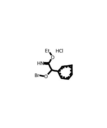 CCOC(=N)C(OBr)c1ccccc1.Cl